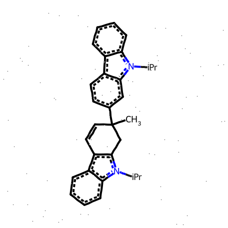 CC(C)n1c2c(c3ccccc31)C=CC(C)(c1ccc3c4ccccc4n(C(C)C)c3c1)C2